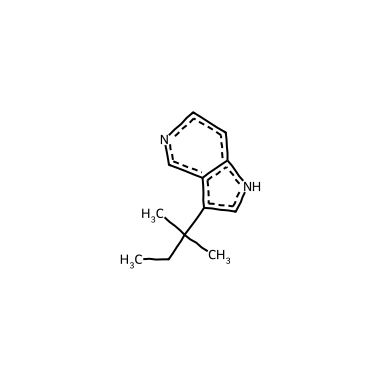 CCC(C)(C)c1c[nH]c2ccncc12